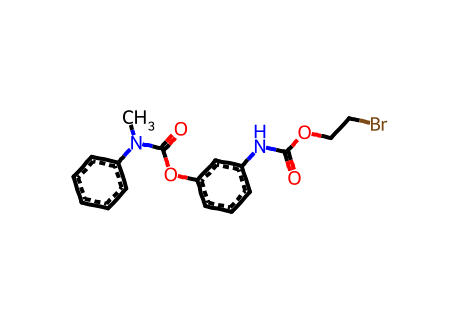 CN(C(=O)Oc1cccc(NC(=O)OCCBr)c1)c1ccccc1